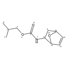 CC(C)COC(=O)NC1CC2C=CC1O2